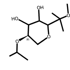 COC(C)(C)C1OC[C@@H](OC(C)C)C(O)C1O